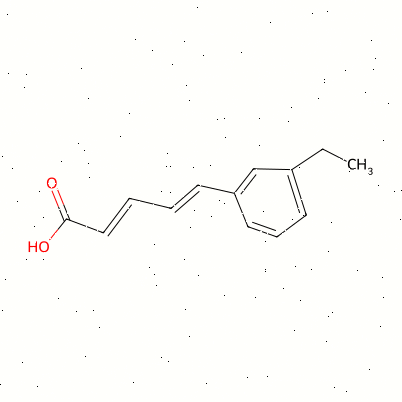 CCc1cccc(/C=C/C=C/C(=O)O)c1